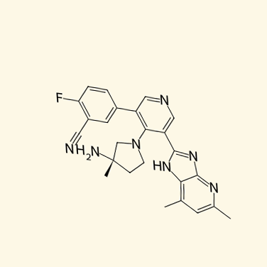 Cc1cc(C)c2[nH]c(-c3cncc(-c4ccc(F)c(C#N)c4)c3N3CC[C@](C)(N)C3)nc2n1